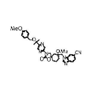 COc1ccc(COC(C)(C)c2cnc(N3C[C@@]4(CCC[C@@](Cn5cnc6ccc(C#N)cc65)(OC)C4)OC3=O)cn2)cc1